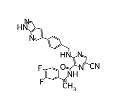 C[C@H](NC(=O)c1nc(C#N)cnc1NCc1ccc(-c2cnc3[nH]ncc3c2)cc1)c1ccc(F)c(F)c1